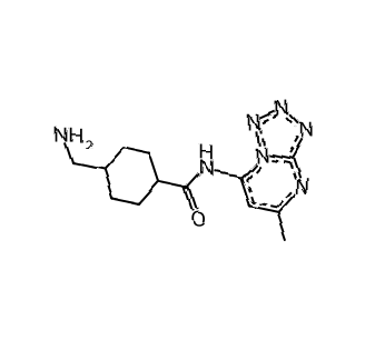 Cc1cc(NC(=O)C2CCC(CN)CC2)n2nnnc2n1